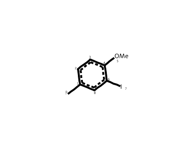 [CH2]c1ccc(OC)c(I)c1